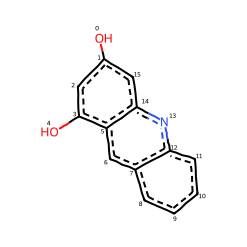 Oc1cc(O)c2cc3ccccc3nc2c1